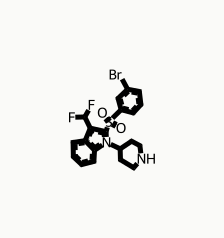 O=S(=O)(c1cccc(Br)c1)c1c(C(F)F)c2ccccc2n1C1CCNCC1